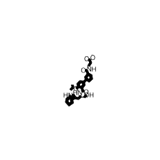 COC(=O)CCNC(=O)c1cccc(-c2ccc(OC(C)C)c(C(=O)N[C@@H](CO)Cc3c[nH]c4ccccc34)c2)c1